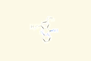 Cc1cc(C)c2nc3ccccn3c(=N)c2c1